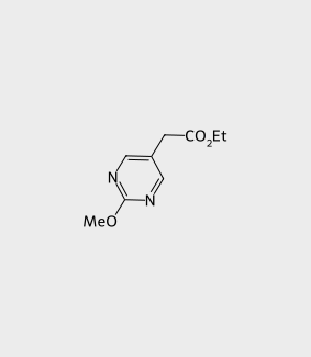 CCOC(=O)Cc1cnc(OC)nc1